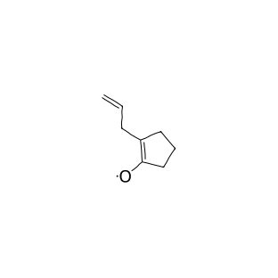 C=CCC1=C([O])CCC1